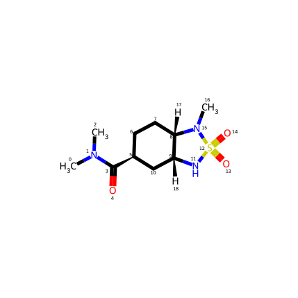 CN(C)C(=O)[C@H]1CC[C@H]2[C@@H](C1)NS(=O)(=O)N2C